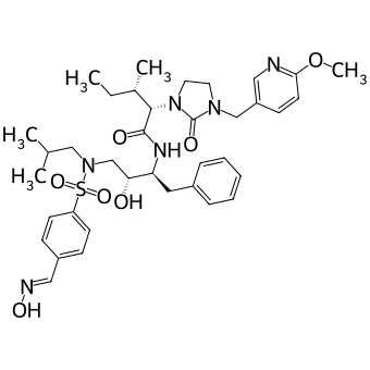 CC[C@H](C)[C@@H](C(=O)N[C@@H](Cc1ccccc1)[C@H](O)CN(CC(C)C)S(=O)(=O)c1ccc(/C=N/O)cc1)N1CCN(Cc2ccc(OC)nc2)C1=O